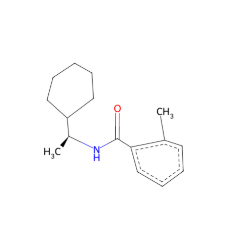 Cc1ccccc1C(=O)N[C@@H](C)C1CCCCC1